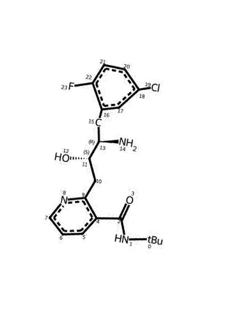 CC(C)(C)NC(=O)c1cccnc1C[C@H](O)[C@H](N)Cc1cc(Cl)ccc1F